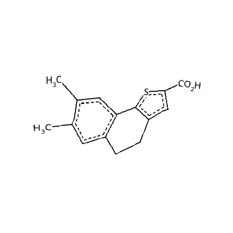 Cc1cc2c(cc1C)-c1sc(C(=O)O)cc1CC2